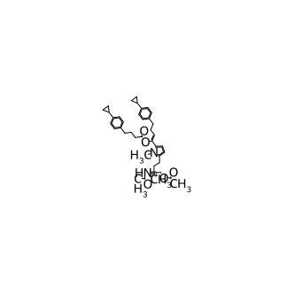 CC(=O)N[C@](C)(CCc1ccc(C(=CCCc2ccc(C3CC3)cc2)OC(=O)CCCc2ccc(C3CC3)cc2)n1C)COC(C)=O